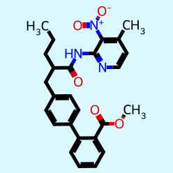 CCCC(Cc1ccc(-c2ccccc2C(=O)OC)cc1)C(=O)Nc1nccc(C)c1[N+](=O)[O-]